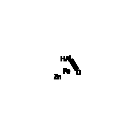 [Fe].[O]=[AlH].[Zn]